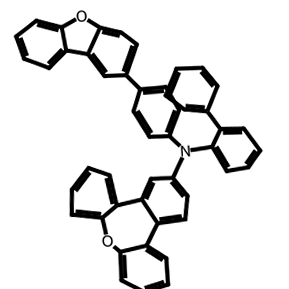 c1ccc(-c2ccccc2N(c2ccc(-c3ccc4oc5ccccc5c4c3)cc2)c2ccc3c(c2)-c2ccccc2Oc2ccccc2-3)cc1